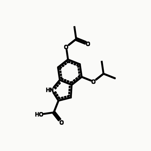 CC(=O)Oc1cc(OC(C)C)c2cc(C(=O)O)[nH]c2c1